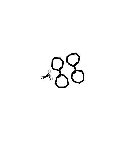 C1=C(C2=CCCCCCC2)CCCCCC1.C1=C(C2=CCCCCCC2)CCCCCC1.[Cl][Rh]([Cl])[Cl]